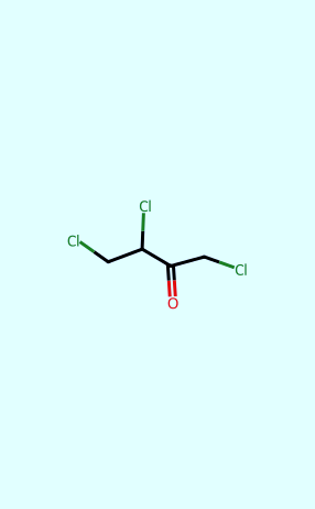 O=C(CCl)C(Cl)CCl